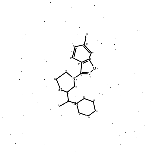 CC(C1CN(c2noc3cc(F)ccc23)CCO1)N1CCCCC1